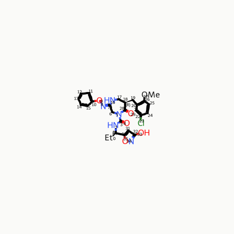 CC[C@@H](NC(=O)N1CC(=NOc2ccccc2)NC[C@@H](Cc2cc(Cl)ccc2OC)C1=O)c1cc(O)no1